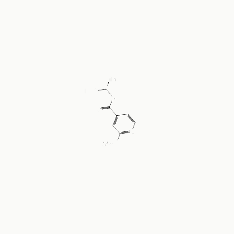 COc1cc(C(=O)N[C@@H](C)C(C)C)ccn1